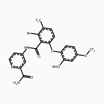 COc1cc(OC(F)(F)F)ccc1Oc1ccc(C(F)(F)F)c(Br)c1C(=O)Nc1ccnc(C(N)=O)c1